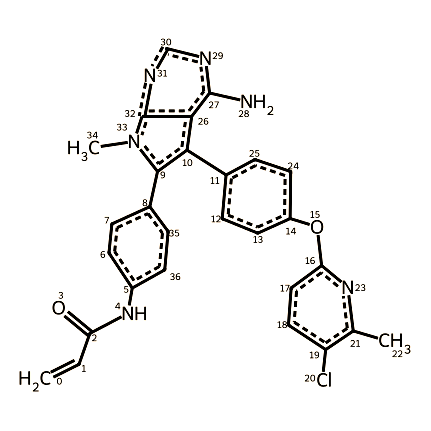 C=CC(=O)Nc1ccc(-c2c(-c3ccc(Oc4ccc(Cl)c(C)n4)cc3)c3c(N)ncnc3n2C)cc1